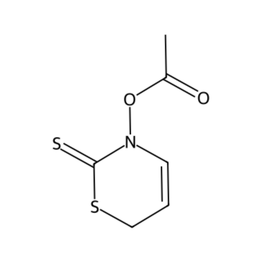 CC(=O)ON1C=CCSC1=S